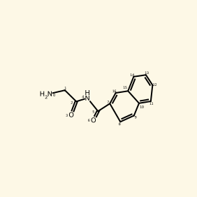 NCC(=O)NC(=O)c1ccc2ccccc2c1